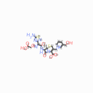 Nc1nc(C(=NOCC(=O)O)C(=O)NC2C(=O)N3C(C(=O)[O-])=C(C[n+]4cccc(CO)c4)CS[C@@H]23)ns1